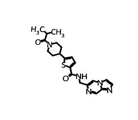 CC(C)C(=O)N1CCC(c2ccc(C(=O)NCc3cn4ccnc4cn3)s2)CC1